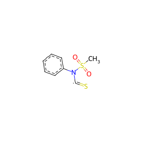 CS(=O)(=O)N([C]=S)c1ccccc1